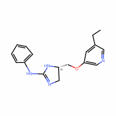 CCc1cncc(OC[C@@H]2CN=C(Nc3ccccc3)N2)c1